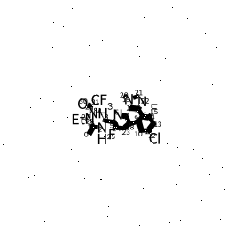 C=C(N[C@H](C)c1ncc(-c2cc(Cl)cc(F)c2-c2cn(C)cn2)cc1F)N(CC)NC(=O)C(F)(F)F